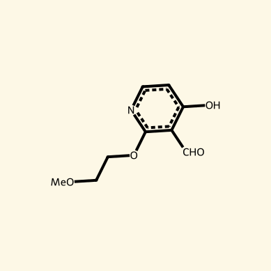 COCCOc1nccc(O)c1C=O